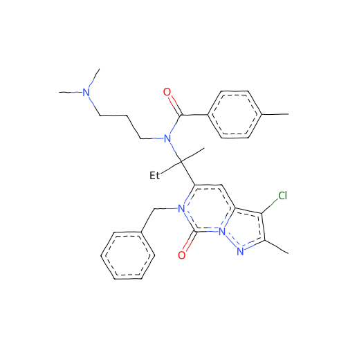 CCC(C)(c1cc2c(Cl)c(C)nn2c(=O)n1Cc1ccccc1)N(CCCN(C)C)C(=O)c1ccc(C)cc1